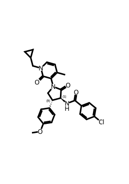 COc1ccc([C@@H]2CN(c3c(C)ccn(CC4CC4)c3=O)C(=O)[C@H]2NC(=O)c2ccc(Cl)cc2)cc1